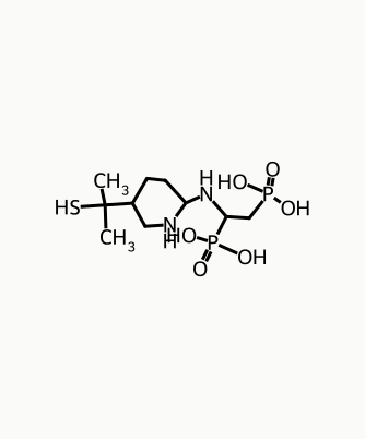 CC(C)(S)C1CCC(NC(CP(=O)(O)O)P(=O)(O)O)NC1